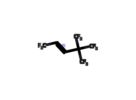 FC(F)(F)/C=C/C(C(F)(F)F)(C(F)(F)F)C(F)(F)F